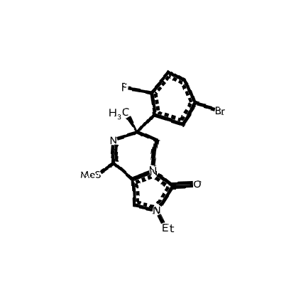 CCn1cc2n(c1=O)C[C@@](C)(c1cc(Br)ccc1F)N=C2SC